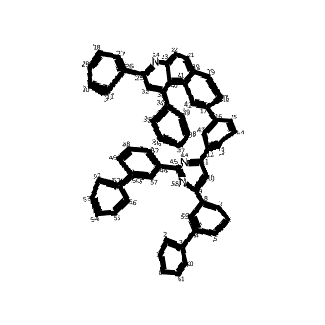 c1ccc(-c2cccc(-c3cc(-c4cccc(-c5ccc6ccc7nc(-c8ccccc8)cc(-c8ccccc8)c7c6c5)c4)nc(-c4cccc(-c5ccccc5)c4)n3)c2)cc1